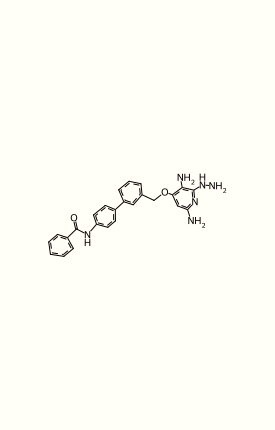 NNc1nc(N)cc(OCc2cccc(-c3ccc(NC(=O)c4ccccc4)cc3)c2)c1N